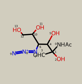 CC(=O)NC(O)(C=O)C(O)C(N=[N+]=[N-])C(O)CO